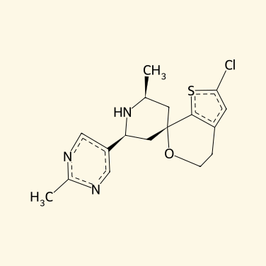 Cc1ncc([C@@H]2C[C@]3(C[C@H](C)N2)OCCc2cc(Cl)sc23)cn1